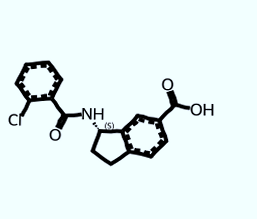 O=C(O)c1ccc2c(c1)[C@@H](NC(=O)c1ccccc1Cl)CC2